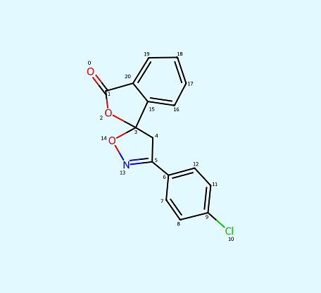 O=C1OC2(CC(c3ccc(Cl)cc3)=NO2)c2ccccc21